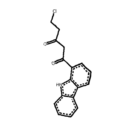 O=C(CCCl)CC(=O)c1cccc2c1[nH]c1ccccc12